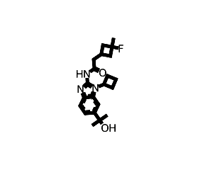 CC1(F)CC(CC(=O)Nc2nc3ccc(C(C)(C)O)cc3n2C2CCC2)C1